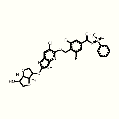 CS(=O)(=NC(=O)c1cc(F)c(COc2nc3[nH]c(O[C@@H]4CO[C@H]5[C@@H]4OC[C@H]5O)nc3cc2Cl)c(F)c1)c1ccccc1